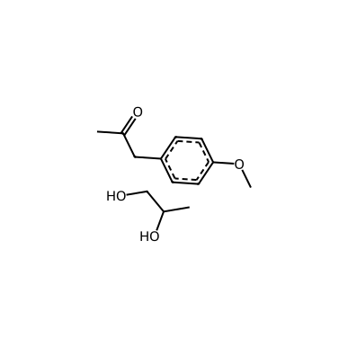 CC(O)CO.COc1ccc(CC(C)=O)cc1